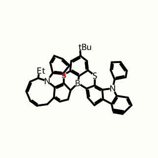 CCC1/C=C\C=C/CC2=CCC3B4c5ccc6c7c#cccc7n(-c7ccccc7)c6c5Sc5cc(C(C)(C)C)cc(c54)SC3=C2N1c1ccccc1